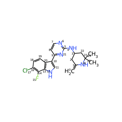 C=C1CC(Nc2nccc(-c3c[nH]c4c(F)c(Cl)ccc34)n2)CC(C)(C)N1